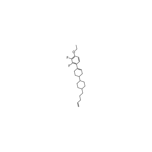 C=CCCCC1CCC(C2CC=C(c3ccc(OCC)c(F)c3F)CC2)CC1